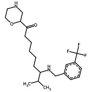 CC(C)C(CCCCCC(=O)C1CNCCO1)NCc1cccc(C(F)(F)F)c1